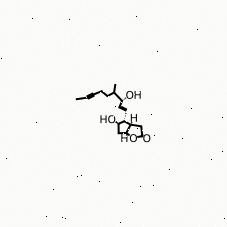 CC#CCCC(C)[C@H](O)/C=C/[C@@H]1[C@H]2CC(=O)O[C@H]2C[C@H]1O